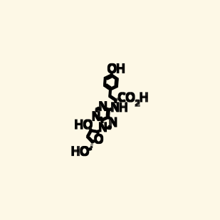 O=C(O)[C@@H](Cc1ccc(O)cc1)Nc1ncnc2c1ncn2[C@@H]1O[C@H](CO)CC1O